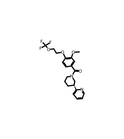 COc1cc(C(=O)N2CCC[C@H](c3ccccn3)C2)ccc1OCCOC(F)(F)F